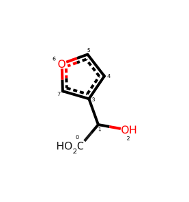 O=C(O)C(O)c1ccoc1